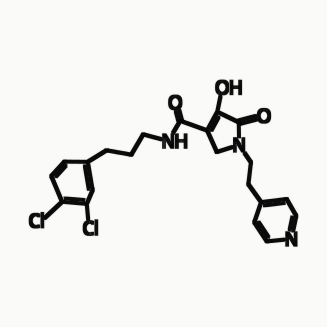 O=C(NCCCc1ccc(Cl)c(Cl)c1)C1=C(O)C(=O)N(CCc2ccncc2)C1